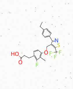 CCc1ccc(-c2nsc(C(F)(F)F)c2COc2ccc(CCC(=O)O)c(F)c2C)cc1